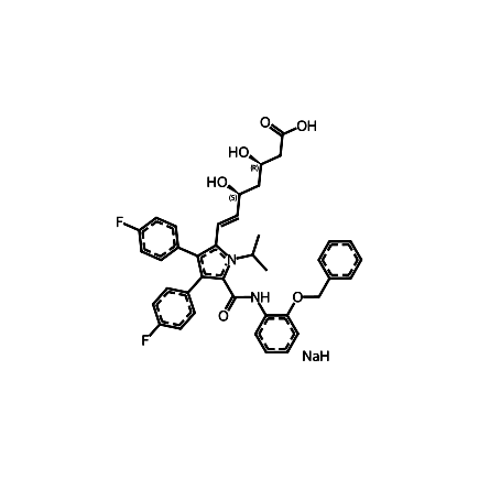 CC(C)n1c(C=C[C@@H](O)C[C@@H](O)CC(=O)O)c(-c2ccc(F)cc2)c(-c2ccc(F)cc2)c1C(=O)Nc1ccccc1OCc1ccccc1.[NaH]